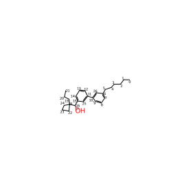 CCCCCCc1cc[c]c(-c2cccc(C(O)C3(CCC)CCC3)c2)c1